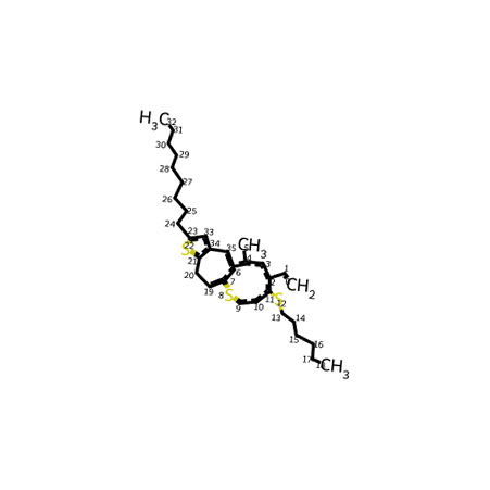 C=Cc1cc(C)c2c(sccc1SCCCCCC)=CCc1sc(CCCCCCCCC)cc1C=2